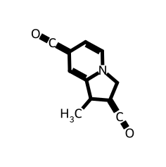 CC1C(=C=O)CN2C=CC(=C=O)C=C12